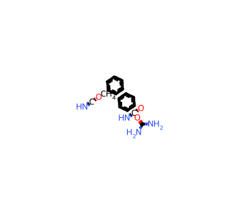 C.N=C=O.N=C=O.NC(N)=O.c1ccccc1.c1ccccc1